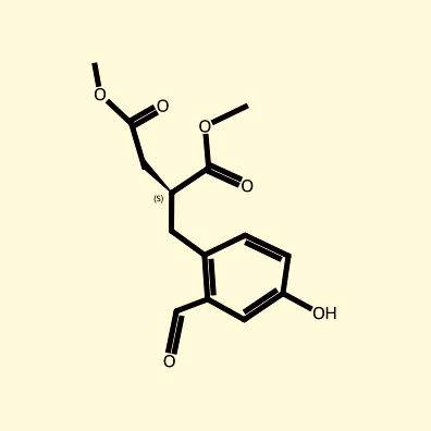 COC(=O)C[C@H](Cc1ccc(O)cc1C=O)C(=O)OC